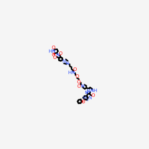 NC(=O)c1c(-c2ccc(Oc3ccccc3)cc2)nn2c1NCC=C2C1CCN(C(=O)COCCOCCNC(=O)CCCCN2CCN(c3ccc4c(c3)C(=O)N(C3CCC(=O)NC3=O)C4=O)CC2)CC1